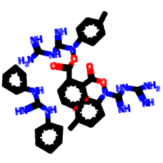 Cc1ccc(N(OC(=O)c2ccccc2C(=O)ON(C(=N)NC(=N)N)c2ccc(C)cc2)C(=N)NC(=N)N)cc1.N=C(Nc1ccccc1)Nc1ccccc1